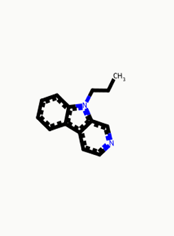 CCCn1c2ccccc2c2ccncc21